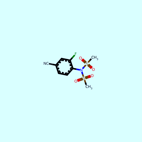 CS(=O)(=O)N(c1ccc(C#N)cc1F)S(C)(=O)=O